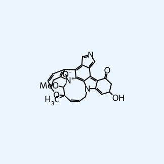 COC1C2(C)/C=C\Cn3c4c(c5c6c(c7c(c53)[N+]1([O-])C1=C7C=CC(C1)O2)C=NC=6)C(=O)CC(O)C=4